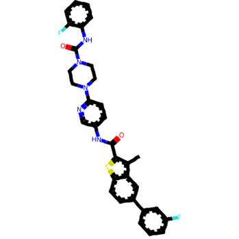 Cc1c(C(=O)Nc2ccc(N3CCN(C(=O)Nc4ccccc4F)CC3)nc2)sc2ccc(-c3cccc(F)c3)cc12